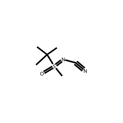 CC(C)(C)S(C)(=O)=NC#N